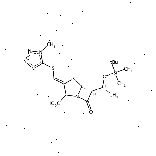 C[C@@H](O[Si](C)(C)C(C)(C)C)[C@@H]1C(=O)N2C(C(=O)O)C(=CSc3nnnn3C)SC12